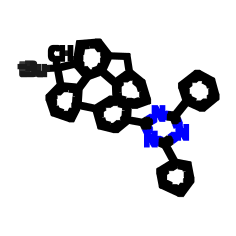 CC(C)(C)C1(C)c2cccc(-c3ccc(-c4nc(-c5ccccc5)nc(-c5ccccc5)n4)cc3)c2-c2c1ccc1c2-c2ccccc2C1